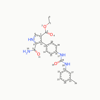 CCOC(=O)c1c[nH]c(C(N)=O)c1-c1ccc(NC(=O)Nc2cccc(C)c2)cc1